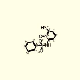 O=S(=O)(Nc1cccc(S)[n+]1[O-])c1ccccc1